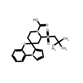 CC(C)(C)CS(=O)(=O)C1CC2(CCN1C(=O)O)Oc1ccccc1-n1cccc12